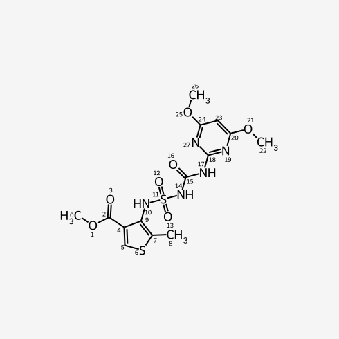 COC(=O)c1csc(C)c1NS(=O)(=O)NC(=O)Nc1nc(OC)cc(OC)n1